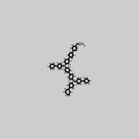 C=Cc1ccc(-c2ccc(-c3ccc(N(c4ccc(-c5ccccc5)cc4)c4ccc(-c5ccc(N(c6ccc(-c7ccccc7)cc6)c6ccc(-c7ccccc7)cc6)cc5)cc4)cc3)cc2)cc1